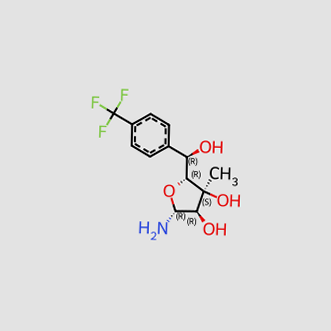 C[C@@]1(O)[C@@H]([C@H](O)c2ccc(C(F)(F)F)cc2)O[C@@H](N)[C@@H]1O